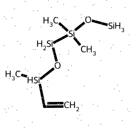 C=C[SiH](C)O[SiH2][Si](C)(C)O[SiH3]